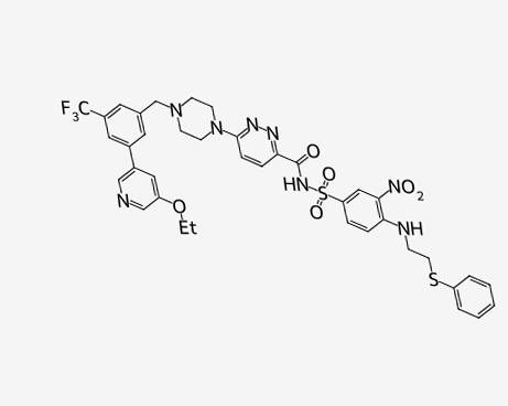 CCOc1cncc(-c2cc(CN3CCN(c4ccc(C(=O)NS(=O)(=O)c5ccc(NCCSc6ccccc6)c([N+](=O)[O-])c5)nn4)CC3)cc(C(F)(F)F)c2)c1